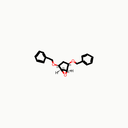 c1ccc(CO[C@H]2C[C@@H](OCc3ccccc3)[C@H]3O[C@H]32)cc1